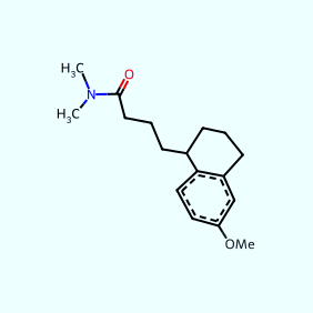 COc1ccc2c(c1)CCCC2CCCC(=O)N(C)C